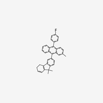 Cc1ccc2c(-c3ccc(F)cc3)c3ccccc3c(-c3ccc4c(c3)C3=C(C=CCC3)C4(C)C)c2c1